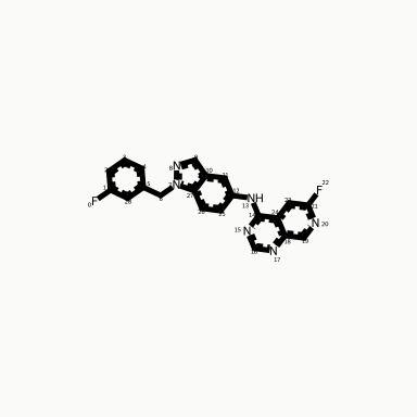 Fc1cccc(Cn2ncc3cc(Nc4ncnc5cnc(F)cc45)ccc32)c1